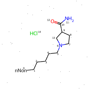 CCCCCCCCCCCCCCN1CCC(C(N)=O)C1.Cl